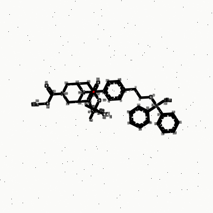 CCOC(=O)C1=C(c2ccc(CCO[Si](c3ccccc3)(c3ccccc3)C(C)(C)C)cc2)CC2CN(C(=O)OC(C)(C)C)CC1N2C(=O)OC(C)(C)C(Cl)(Cl)Cl